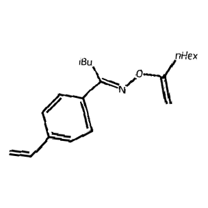 C=Cc1ccc(/C(=N/OC(=C)CCCCCC)C(C)CC)cc1